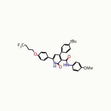 COc1ccc(NC(=O)c2c(-c3ccc(C(C)(C)C)cc3)cc(-c3ccc(OCCCC(F)(F)F)cc3)[nH]c2=O)cc1